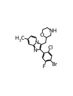 Cc1ccn2c(CC3CNCCO3)c(-c3cc(F)c(Br)cc3Cl)nc2c1